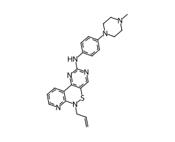 C=CCN1Sc2cnc(Nc3ccc(N4CCN(C)CC4)cc3)nc2-c2cccnc21